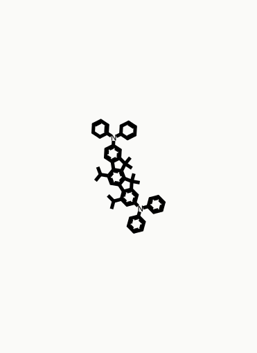 CC(C)c1cc(N(c2ccccc2)c2ccccc2)cc2c1-c1cc(C(C)C)c3c(c1C2(C)C)C(C)(C)c1cc(N(C2=CC=CCC2)C2C=CC=CC2)ccc1-3